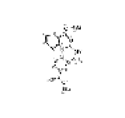 CC(C)CN(c1ccc(C(=O)OC(C)(C)C)cc1N)c1ccccc1C(=O)OC(C)(C)C